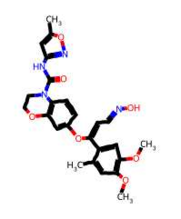 COc1cc(C)c(/C(=C\C=N\O)Oc2ccc3c(c2)OCCN3C(=O)Nc2cc(C)on2)cc1OC